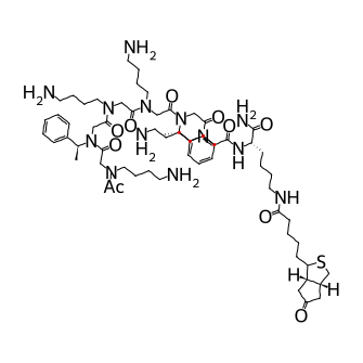 CC(=O)N(CCCCN)CC(=O)N(CC(=O)N(CCCCN)CC(=O)N(CCCCN)CC(=O)N(CC(=O)N(CCCCN)CC(=O)N[C@@H](CCCCNC(=O)CCCCC1SC[C@@H]2CC(=O)C[C@H]12)C(N)=O)[C@@H](C)c1ccccc1)[C@@H](C)c1ccccc1